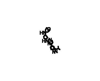 CC(C)c1c2cc(-c3ccnc(NC4CCC(NC5CCOCC5)CC4)n3)ccc2nn1C